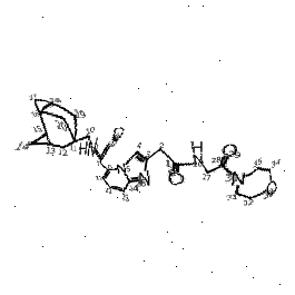 O=C(Cc1cn2c(C(=O)NCC34CC5CC5C5(CC5C3)C4)cccc2n1)NCC(=O)N1CCOCC1